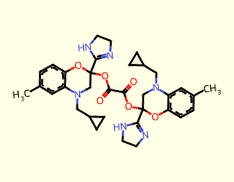 Cc1ccc2c(c1)N(CC1CC1)CC(OC(=O)C(=O)OC1(C3=NCCN3)CN(CC3CC3)c3cc(C)ccc3O1)(C1=NCCN1)O2